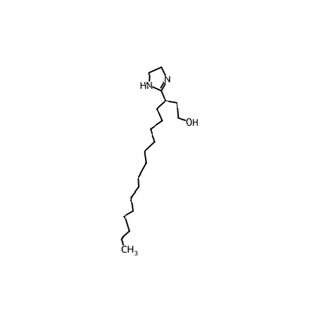 CCCCCCCCCCCCCCC(CCO)C1=NCCN1